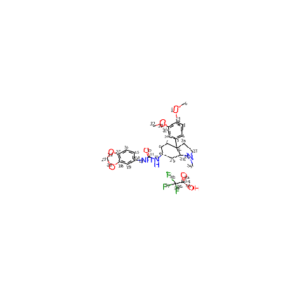 COc1ccc(C23CCC(NC(=O)Nc4ccc5c(c4)OCO5)CC2N(C)CC3)cc1OC.O=C(O)C(F)(F)F